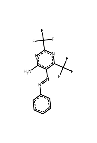 Nc1nc(C(F)(F)F)nc(C(F)(F)F)c1/N=N/c1ccccc1